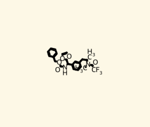 CC(Cc1cccc(C(NC(=O)OCc2ccccc2)C2OC=CO2)c1)N(C)C(=O)C(F)(F)F